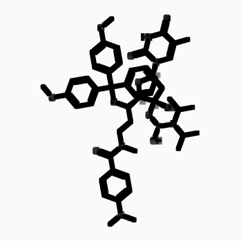 COc1ccc(C(OC(CCN(C)C(=O)c2ccc(N(C)C)cc2)[C@H]2O[C@@H](n3cc(C)c(=O)[nH]c3=O)C[C@]2(O)OP(O)N(C(C)C)C(C)C)(c2ccccc2)c2ccc(OC)cc2)cc1